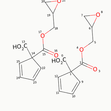 O=C(O)C1(C(=O)OCC2CO2)C=CC=C1.O=C(O)C1(C(=O)OCC2CO2)C=CC=C1